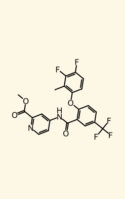 COC(=O)c1cc(NC(=O)c2cc(C(F)(F)F)ccc2Oc2ccc(F)c(F)c2C)ccn1